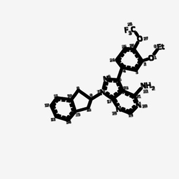 CCOc1cc(-c2nn(C3Cc4ccccc4C3)c3ncnc(N)c23)ccc1OC(F)(F)F